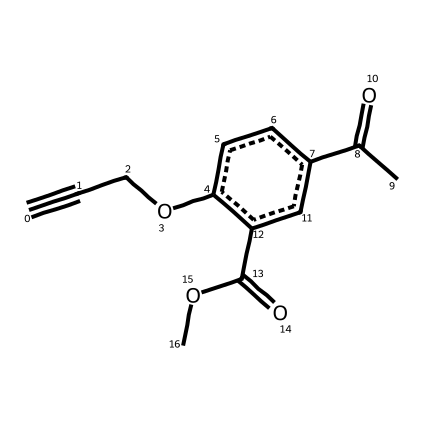 C#CCOc1ccc(C(C)=O)cc1C(=O)OC